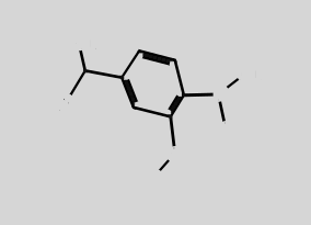 COc1cc(C(C)N)ccc1[S+](C)[O-]